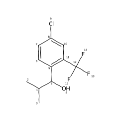 CC(C)C(O)c1ccc(Cl)cc1C(F)(F)F